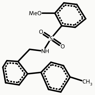 COc1ccccc1S(=O)(=O)NCc1ccccc1-c1ccc(C)cc1